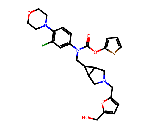 O=C(Oc1cccs1)N(CC1C2CN(Cc3ccc(CO)o3)CC21)c1ccc(N2CCOCC2)c(F)c1